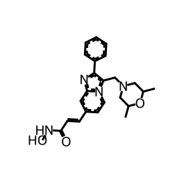 CC1CN(Cc2c(-c3ccccc3)nc3cc(C=CC(=O)NO)ccn23)CC(C)O1